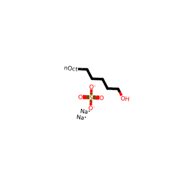 CCCCCCCCCCCCCO.O=S(=O)([O-])[O-].[Na+].[Na+]